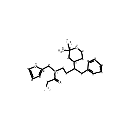 CCC(=O)N(CCC(Cc1ccccc1)C1CCOC(C)(C)C1)Cc1ccco1